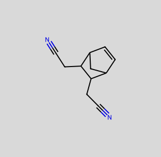 N#CCC1C2C=CC(C2)C1CC#N